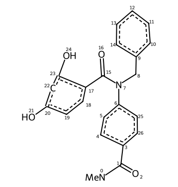 CNC(=O)c1ccc(N(Cc2ccccc2)C(=O)c2ccc(O)cc2O)cc1